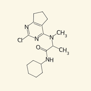 CC(C(=O)NC1CCCCC1)N(C)c1nc(Cl)nc2c1CCC2